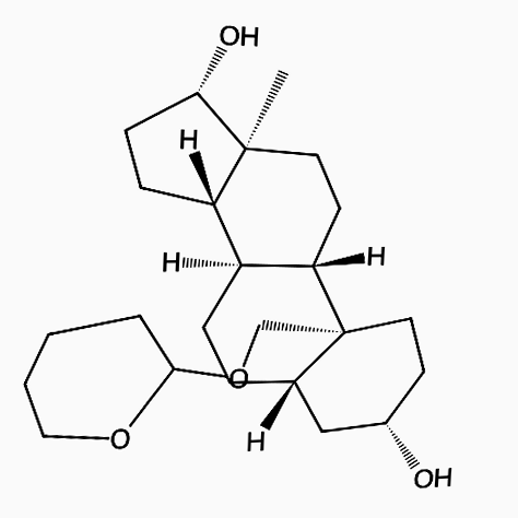 C[C@]12CC[C@H]3[C@@H](CC[C@H]4C[C@@H](O)CC[C@@]43COC3CCCCO3)[C@@H]1CC[C@@H]2O